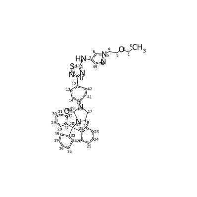 CCOCCn1cc(Nc2nc(-c3ccc(N4CCN(C(c5ccccc5)(c5ccccc5)c5ccccc5)C4=O)cc3)ns2)cn1